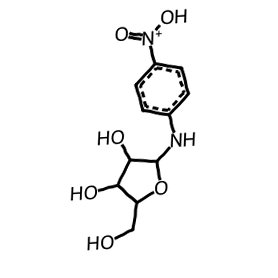 O=[N+](O)c1ccc(NC2OC(CO)C(O)C2O)cc1